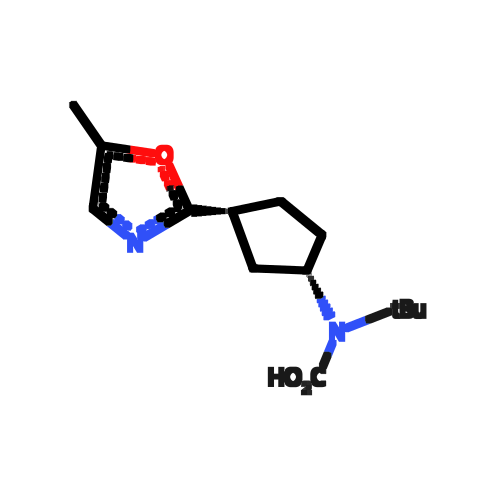 Cc1cnc([C@@H]2CC[C@H](N(C(=O)O)C(C)(C)C)C2)o1